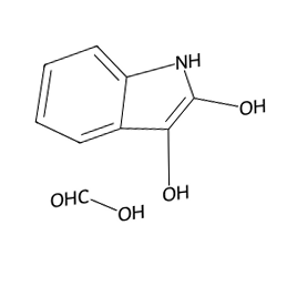 O=CO.Oc1[nH]c2ccccc2c1O